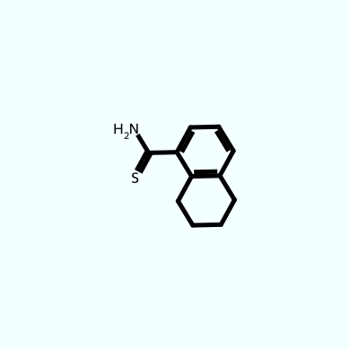 NC(=S)c1cccc2c1CCCC2